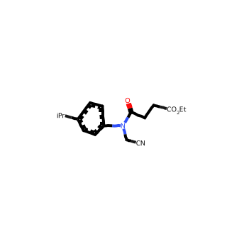 CCOC(=O)CCC(=O)N(CC#N)c1ccc(C(C)C)cc1